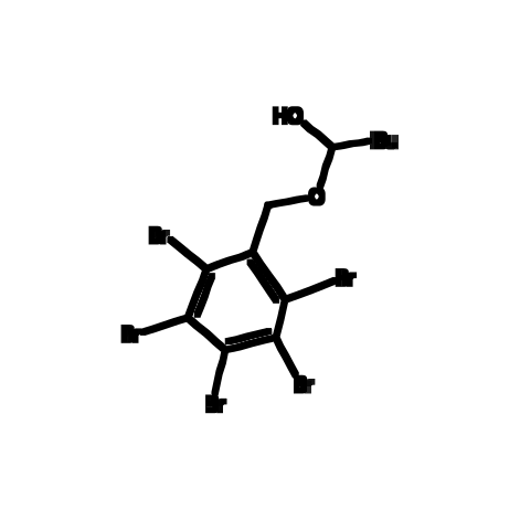 CCC(C)C(O)OCc1c(Br)c(Br)c(Br)c(Br)c1Br